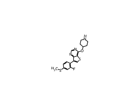 CSc1ccc(-c2csc3c(OC4CCNCC4)ncnc23)c(F)c1